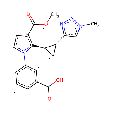 COC(=O)c1ccn(-c2cccc(C(O)O)c2)c1[C@@H]1C[C@H]1c1cn(C)nn1